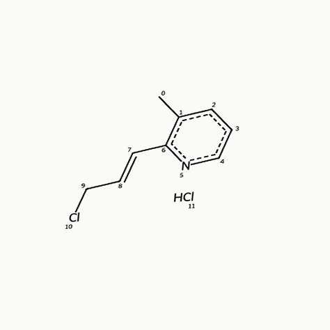 Cc1cccnc1C=CCCl.Cl